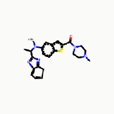 CCCN(c1ccc2sc(C(=O)N3CCN(C)CC3)cc2c1)C(C)C1=NC2=CC=CCC2=N1